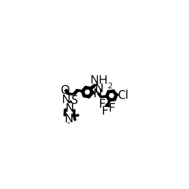 CN1CCN(C2=NC(=O)/C(=C/c3ccc4c(c3)c(N)nn4Cc3ccc(Cl)cc3C(F)(F)F)S2)CC1(C)C